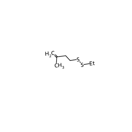 C=C(C)CCSSCC